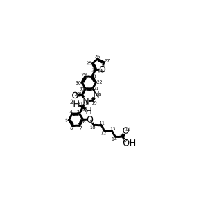 [2H]C([2H])(c1ccccc1OCCCCCC(=O)O)n1cnc2cc(-c3ccco3)ccc2c1=O